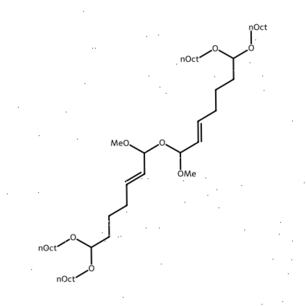 CCCCCCCCOC(CCCC=CC(OC)OC(C=CCCCC(OCCCCCCCC)OCCCCCCCC)OC)OCCCCCCCC